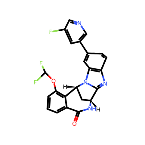 O=C1N[C@@H]2C[C@H](c3c(OC(F)F)cccc31)n1c2nc2ccc(-c3cncc(F)c3)cc21